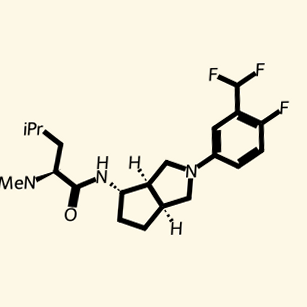 CN[C@@H](CC(C)C)C(=O)N[C@H]1CC[C@@H]2CN(c3ccc(F)c(C(F)F)c3)C[C@@H]21